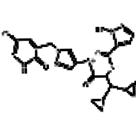 CC(C)n1nccc1C(=O)NC(C(=O)Nc1cnn(Cc2cc(Cl)n[nH]c2=O)c1)C(C1CC1)C1CC1